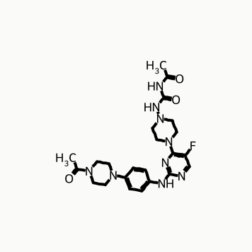 CC(=O)NC(=O)NN1CCN(c2nc(Nc3ccc(N4CCN(C(C)=O)CC4)cc3)ncc2F)CC1